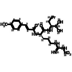 Cc1ccc(C=CC(=O)N[C@@H](CCCNC(=N)N[N+](=O)[O-])C(=O)N[C@@H](CC(C)C)B(O)O)cc1